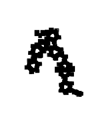 N#Cc1nccc(N2C[C@H]3CN(Cc4ccc(-n5c(-c6cccnc6N)nc6ccc(-c7ccccc7)nc65)cc4)C[C@@H]3C2)n1